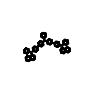 c1ccc(N(c2ccc(-c3ccc(N(c4ccccc4)c4cccc5ccccc45)cc3)cc2)c2ccc(-c3ccc(N(c4ccccc4)c4cccc5ccccc45)cc3)cc2)cc1